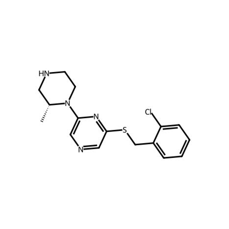 C[C@@H]1CNCCN1c1cncc(SCc2ccccc2Cl)n1